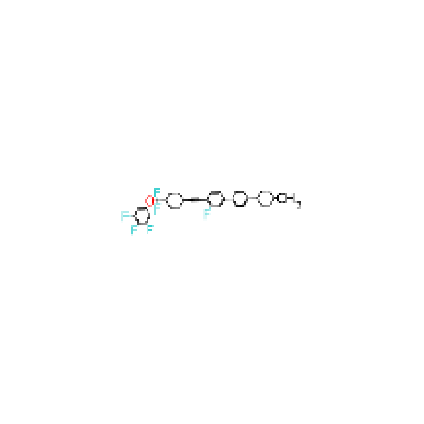 CC1CCC(c2ccc(-c3ccc(C#CC4CCC(C(F)(F)Oc5cc(F)c(F)c(F)c5)CC4)c(F)c3)cc2)CC1